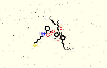 CC#CCC(C)[C@H](O)/C=C/[C@H]1C(OC(=O)C2CCCCC2C(=O)NCCCCCCS)C[C@@H]2Oc3c(CCCC(=O)O)cccc3[C@@H]21